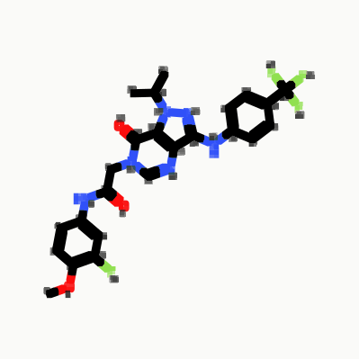 COc1ccc(NC(=O)Cn2cnc3c(Nc4ccc(C(F)(F)F)cc4)nn(C(C)C)c3c2=O)cc1F